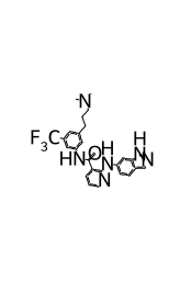 CN(C)CCCc1cc(NC(=O)c2cccnc2Nc2ccc3cn[nH]c3c2)cc(C(F)(F)F)c1